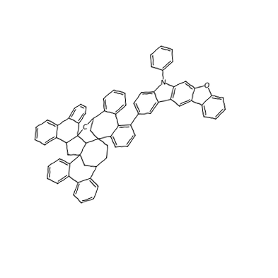 c1ccc(-n2c3ccc(-c4cccc5c4-c4ccccc4C4CC56CCC5CC7(CC8c9ccccc9-c9ccccc9C8(C4)C76)c4ccccc4-c4ccccc45)cc3c3cc4c(cc32)oc2ccccc24)cc1